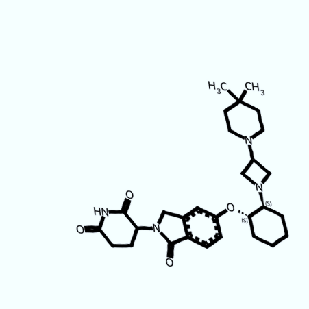 CC1(C)CCN(C2CN([C@H]3CCCC[C@@H]3Oc3ccc4c(c3)CN(C3CCC(=O)NC3=O)C4=O)C2)CC1